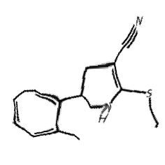 CSC1=C(C#N)CC(c2ccccc2C)N1